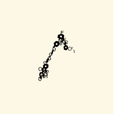 O=C1CCC(N2C(=O)c3ccc(OCCOCCOCCOCc4ccc(-n5c(NC(=O)c6cccc(C(F)(F)F)c6)nc6cc(F)ccc65)cc4)cc3C2=O)C(=O)N1